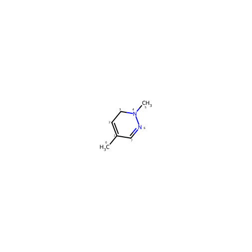 CC1=CCN(C)N=C1